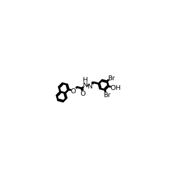 O=C(COc1cccc2ccccc12)NN=Cc1cc(Br)c(O)c(Br)c1